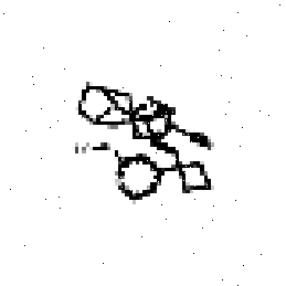 COc1cc(C2(/C=C/C(=O)N3CC4CCC(C3)N4c3ccc(C#N)cn3)CCC2)ccn1